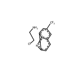 FC(F)(F)c1cc2c3nc-2ccc3c1.NCCCl